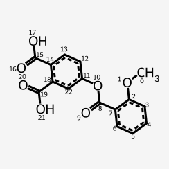 COc1ccccc1C(=O)Oc1ccc(C(=O)O)c(C(=O)O)c1